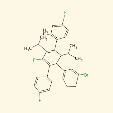 Cc1cc(F)ccc1C1=C(C(C)C)C(F)=C(c2ccc(F)cc2)C(c2cccc(Br)c2)[C]1C(C)C